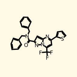 O=C(c1cc2nc(-c3cccs3)cc(C(F)(F)F)n2n1)N(Cc1ccccc1)Cc1ccccc1